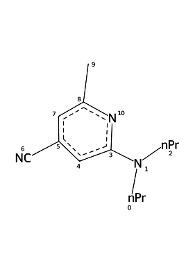 CCCN(CCC)c1cc(C#N)cc(C)n1